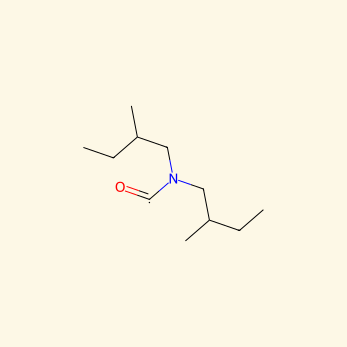 CCC(C)CN([C]=O)CC(C)CC